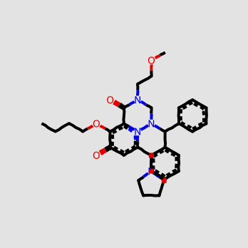 CCCCOc1c2n(c(CN3CCCC3)cc1=O)N(C(c1ccccc1)c1ccccc1)CN(CCOC)C2=O